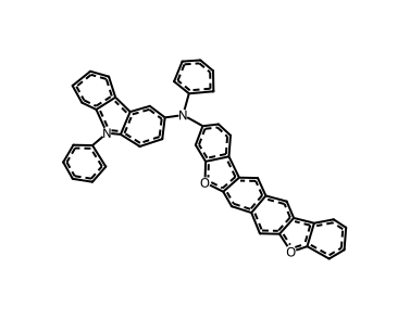 c1ccc(N(c2ccc3c(c2)oc2cc4cc5oc6ccccc6c5cc4cc23)c2ccc3c(c2)c2ccccc2n3-c2ccccc2)cc1